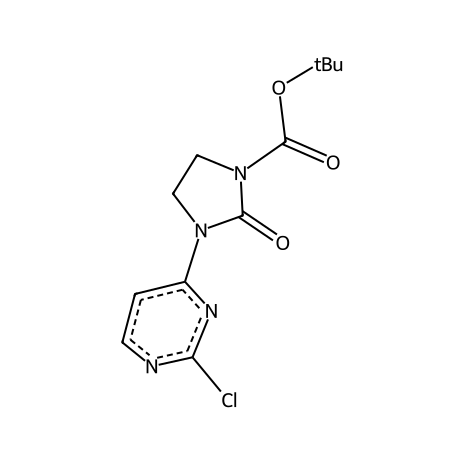 CC(C)(C)OC(=O)N1CCN(c2ccnc(Cl)n2)C1=O